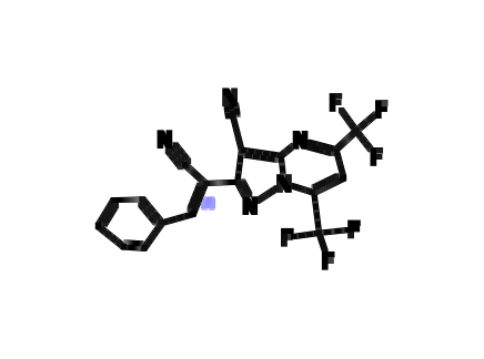 N#C/C(=C\c1ccccc1)c1nn2c(C(F)(F)F)cc(C(F)(F)F)nc2c1C#N